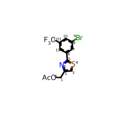 CC(=O)OCc1csc(-c2cc(Br)cc(C(F)(F)F)c2)n1